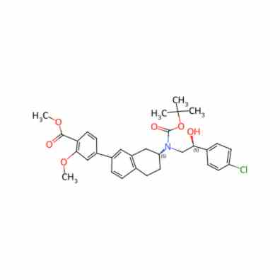 COC(=O)c1ccc(-c2ccc3c(c2)C[C@@H](N(C[C@@H](O)c2ccc(Cl)cc2)C(=O)OC(C)(C)C)CC3)cc1OC